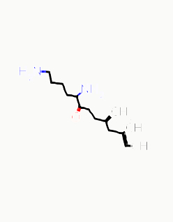 C=C(CCC(=O)C(N)CCCCN)C/C(C)=C/C